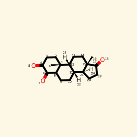 C[C@]12CCC(=O)C(=O)C1CC[C@@H]1[C@H]2CC[C@]2(C)C(=O)CC[C@@H]12